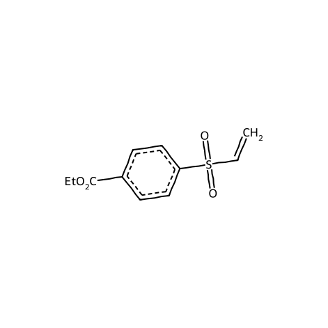 C=CS(=O)(=O)c1ccc(C(=O)OCC)cc1